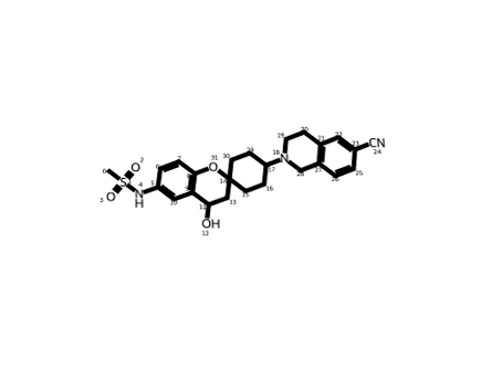 CS(=O)(=O)Nc1ccc2c(c1)C(O)CC1(CCC(N3CCc4cc(C#N)ccc4C3)CC1)O2